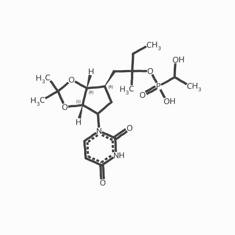 CCC(C)(C[C@H]1CC(n2ccc(=O)[nH]c2=O)[C@@H]2OC(C)(C)O[C@H]12)OP(=O)(O)C(C)O